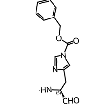 [NH][C@H](C=O)Cc1cn(C(=O)OCc2ccccc2)cn1